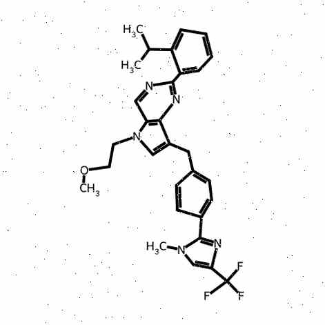 COCCn1cc(Cc2ccc(-c3nc(C(F)(F)F)cn3C)cc2)c2nc(-c3ccccc3C(C)C)ncc21